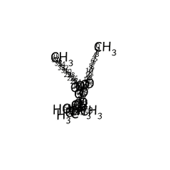 CCCCCCCCCCCCCCCC(=O)OCC(COC(=O)CCCCCCCCCCCCCCC)OC(=O)CCC(=O)Oc1cc(C)cc(C)c1C(C)(C)CC(=O)O